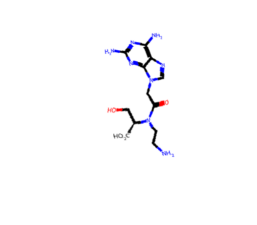 NCCN(C(=O)Cn1cnc2c(N)nc(N)nc21)[C@H](CO)C(=O)O